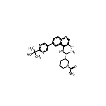 CC(Nc1c(Cl)cnc2ccc(-c3cnc(C(C)(C)O)nc3)cc12)[C@H]1CCCN(C(N)=O)C1